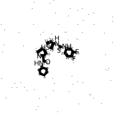 O=C(NC1CCCCC1)c1cc([SH]2C=CC(NC(=S)Nc3ccc(F)c(F)c3)=C2)ccn1